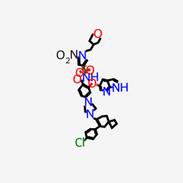 O=C(NS(=O)(=O)c1cc([N+](=O)[O-])n(CCC2CCOCC2)c1)c1ccc(N2CCN(CC3=C(c4ccc(Cl)cc4)CC4(CCC4)CC3)CC2)cc1Oc1cnc2[nH]ccc2c1